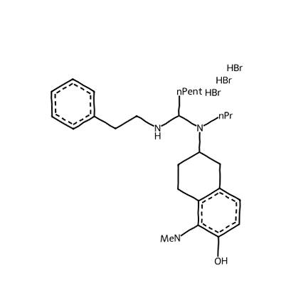 Br.Br.Br.CCCCCC(NCCc1ccccc1)N(CCC)C1CCc2c(ccc(O)c2NC)C1